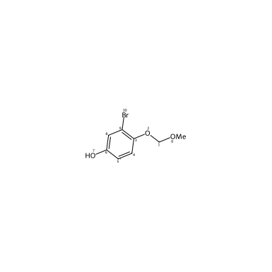 COCOc1c[c]c(O)cc1Br